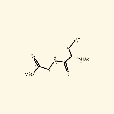 COC(=O)CNC(=O)[C@H](CC(C)C)NC(C)=O